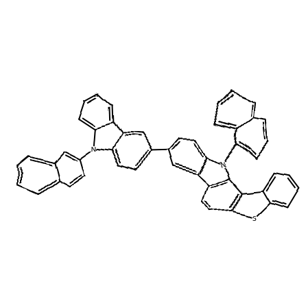 c1ccc2cc(-n3c4ccccc4c4cc(-c5ccc6c(c5)c5ccc7sc8ccccc8c7c5n6-c5cccc6ccccc56)ccc43)ccc2c1